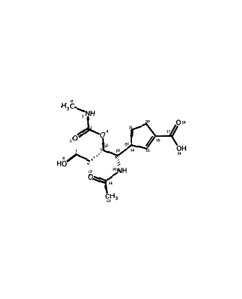 CNC(=O)O[C@@H](CCO)[C@@H](NC(C)=O)[C@@H]1C=C(C(=O)O)CC1